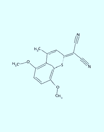 COc1ccc(OC)c2c1SC(=C(C#N)C#N)C=C2C